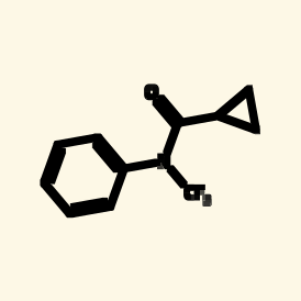 O=C(C1CC1)N(c1ccccc1)C(F)(F)F